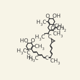 C=C/C(C)=C(\CC1=C(C)C(=O)C(O)CC1(C)C)C(=C=C1CC1/C=C/C=C/C(C)=C=C/C=C(C)/C=C/C1=C(C)C(=O)C(O)CC1(C)C)CC